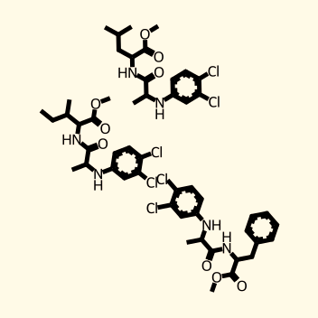 CCC(C)C(NC(=O)C(C)Nc1ccc(Cl)c(Cl)c1)C(=O)OC.COC(=O)C(CC(C)C)NC(=O)C(C)Nc1ccc(Cl)c(Cl)c1.COC(=O)C(Cc1ccccc1)NC(=O)C(C)Nc1ccc(Cl)c(Cl)c1